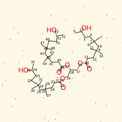 CC(O)CCC(C)(C)CC(C)(C)CCC(=O)OCC(COC(=O)CCC(C)(C)CC(C)(C)CCC(C)O)OC(=O)CCC(C)(C)CC(C)(C)CCC(C)O